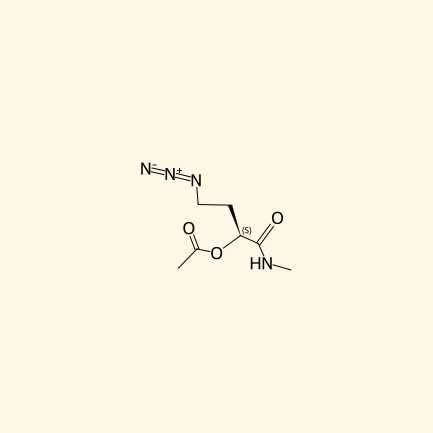 CNC(=O)[C@H](CCN=[N+]=[N-])OC(C)=O